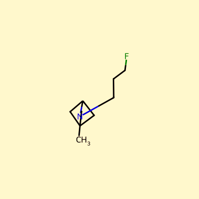 CC12CC(C1)N(CCCF)C2